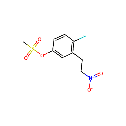 CS(=O)(=O)Oc1ccc(F)c(CC[N+](=O)[O-])c1